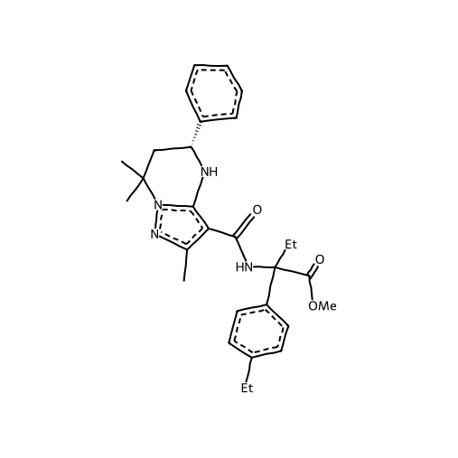 CCc1ccc(C(CC)(NC(=O)c2c(C)nn3c2N[C@@H](c2ccccc2)CC3(C)C)C(=O)OC)cc1